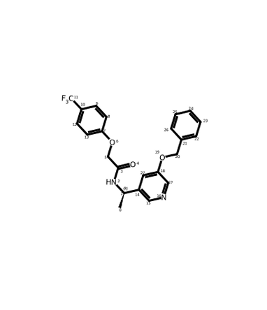 C[C@@H](NC(=O)COc1ccc(C(F)(F)F)cc1)c1cncc(OCc2ccccc2)c1